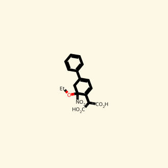 CCOC1([N+](=O)[O-])CC(c2ccccc2)=CC=C1C(C(=O)O)C(=O)O